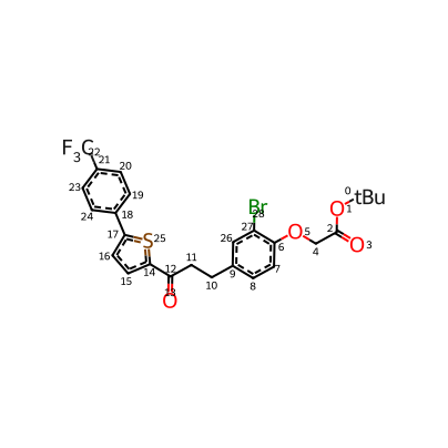 CC(C)(C)OC(=O)COc1ccc(CCC(=O)c2ccc(-c3ccc(C(F)(F)F)cc3)s2)cc1Br